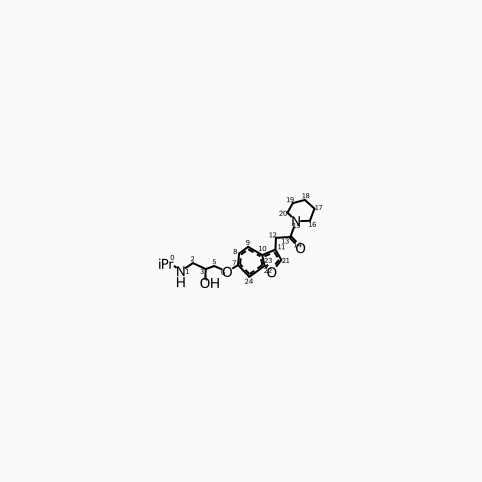 CC(C)NCC(O)COc1ccc2c(CC(=O)N3CCCCC3)coc2c1